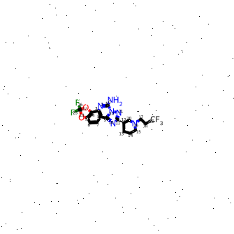 Nc1nc2c3c(ccc2c2nc([C@@H]4CCCN(CCC(F)(F)F)C4)nn12)OC(F)(F)O3